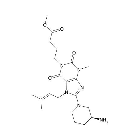 COC(=O)CCCn1c(=O)c2c(nc(N3CCC[C@H](N)C3)n2CC=C(C)C)n(C)c1=O